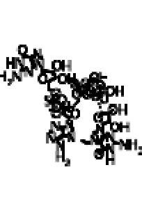 CC[n+]1cn([C@@H]2O[C@H](COP(=O)(O)OP(=O)(O)OP(=O)(O)OC[C@H]3O[C@@H](n4cnc5c(N)ncnc54)[C@H](OC)[C@@H]3O[P@@](O)(=S)OC[C@H]3O[C@@H](n4cnc5c(=O)[nH]c(N)nc54)[C@H](O)[C@@H]3O)[C@@H](O)[C@H]2O)c2nc(N)[nH]c(=O)c21